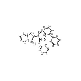 O=C(c1sc2ccccc2c1Cl)N(Cc1cccnc1)Cc1ccccc1-c1ccccc1